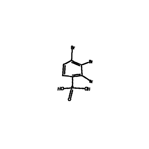 O=P(O)(O)c1ccc(Br)c(Br)c1Br